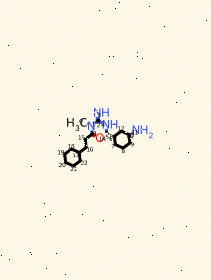 CN(C(=N)NC[C@H]1CCC[C@@H](N)C1)C(=O)CCC1CCCCC1